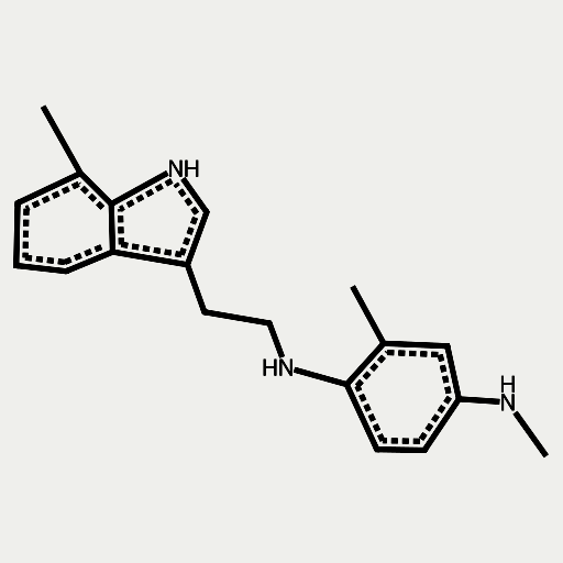 CNc1ccc(NCCc2c[nH]c3c(C)cccc23)c(C)c1